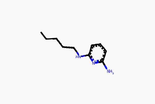 CCCCCNc1[c]ccc(N)n1